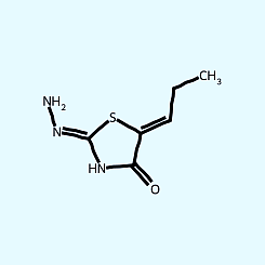 CCC=C1SC(=NN)NC1=O